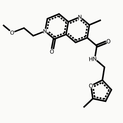 COCCn1ccc2nc(C)c(C(=O)NCc3ccc(C)o3)cc2c1=O